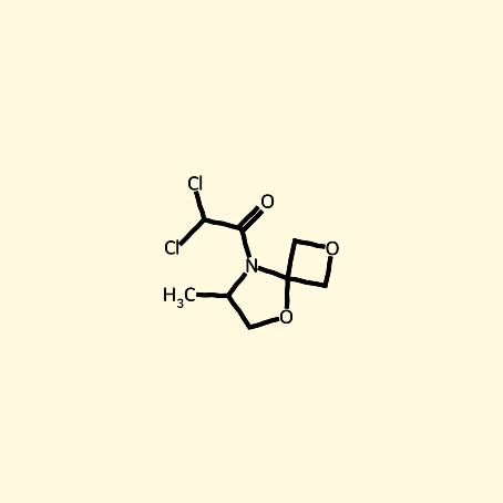 CC1COC2(COC2)N1C(=O)C(Cl)Cl